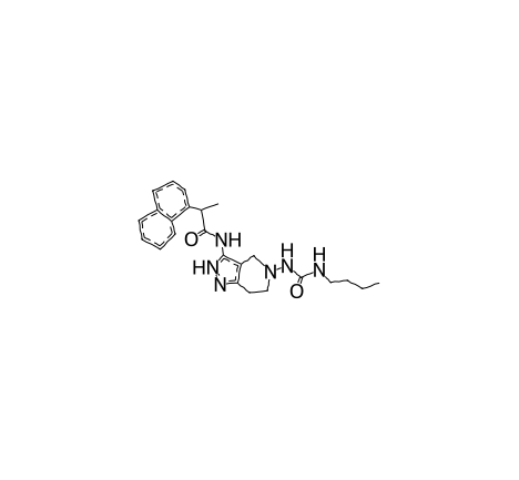 CCCCNC(=O)NN1CCc2n[nH]c(NC(=O)C(C)c3cccc4ccccc34)c2C1